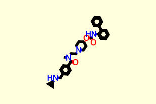 CN(CCN1CCC(OC(=O)Nc2ccccc2-c2ccccc2)CC1)C(=O)c1ccc(CNC2CC2)cc1